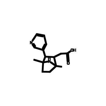 CC12CCC(C)(N1)C(c1cccnc1)C2CC(=O)O